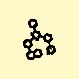 C1=CN=C[C@@H](c2cccc(-c3cc(-c4ccccc4)nc(-c4cccc(-c5cccc6ccccc56)c4)n3)c2)C1